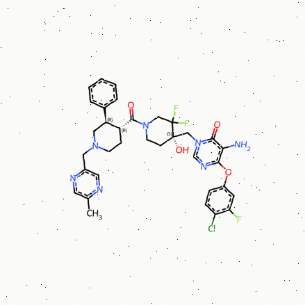 Cc1cnc(CN2CC[C@@H](C(=O)N3CC[C@](O)(Cn4cnc(Oc5ccc(Cl)c(F)c5)c(N)c4=O)C(F)(F)C3)[C@H](c3ccccc3)C2)cn1